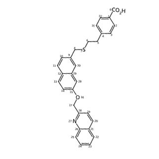 O=C(O)c1ccc(CCSCc2ccc3ccc(OCc4ccc5ccccc5n4)cc3c2)cc1